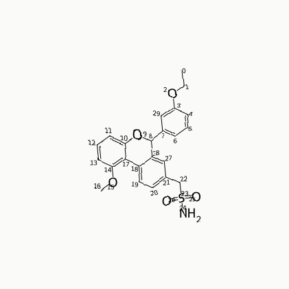 CCOc1cccc(C2Oc3cccc(OC)c3-c3ccc(CS(N)(=O)=O)cc32)c1